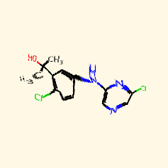 CC(C)(O)c1cc(Nc2cncc(Cl)n2)ccc1Cl